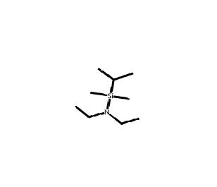 CCN(CC)[Si](C)(C)C(C)C